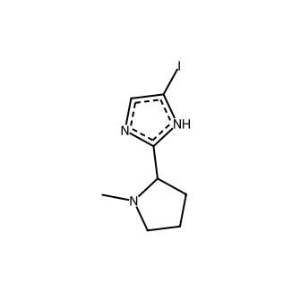 CN1CCCC1c1ncc(I)[nH]1